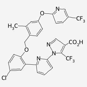 Cc1cc(Oc2ccc(C(F)(F)F)cn2)ccc1COc1ccc(Cl)cc1-c1cccc(-n2ncc(C(=O)O)c2C(F)(F)F)n1